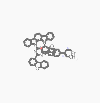 C/C=C(\C=C/CC)c1ccc2c(c1)oc1c(-n3c4ccccc4c4ccc5c6ccccc6n(-c6nc(-c7ccccc7)nc(-c7cccc8c7C7C=CC=CC7O8)n6)c5c43)cccc12